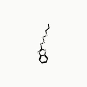 CCCSSSSc1nc2ccccc2s1